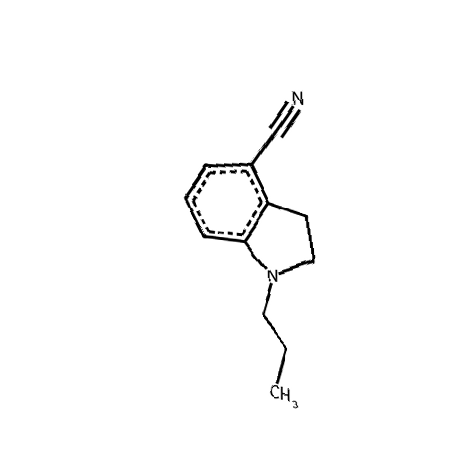 CCCN1CCc2c(C#N)cccc21